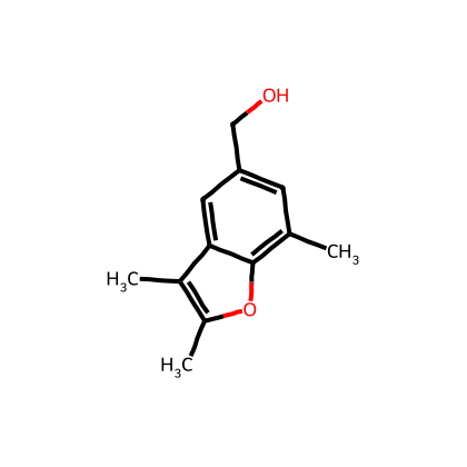 Cc1oc2c(C)cc(CO)cc2c1C